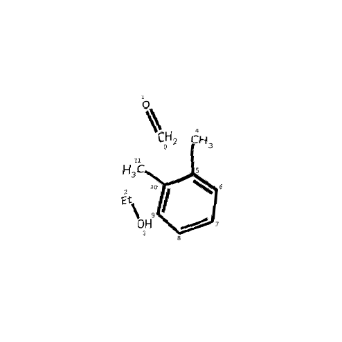 C=O.CCO.Cc1ccccc1C